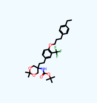 CCc1ccc(CCCOc2ccc(CCC3(NC(=O)OC(C)(C)C)COC(C)(C)OC3)cc2C(F)(F)F)cc1